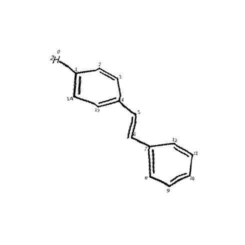 [2H]c1ccc(C=Cc2ccccc2)cc1